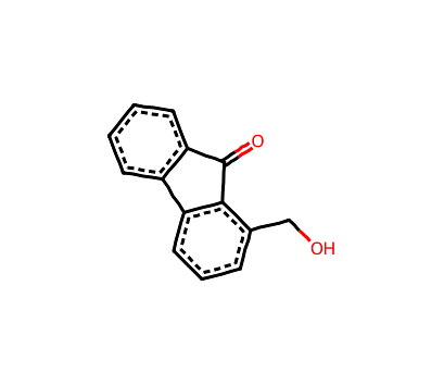 O=C1c2ccccc2-c2cccc(CO)c21